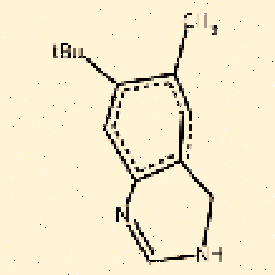 Cc1cc2c(cc1C(C)(C)C)N=CNC2